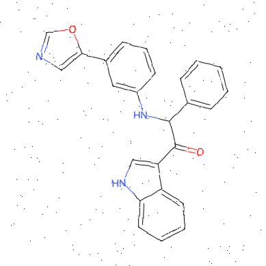 O=C(c1c[nH]c2ccccc12)C(Nc1cccc(-c2cnco2)c1)c1ccccc1